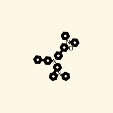 c1ccc(-c2ccc(N(c3ccc(-c4ccc5c(c4)Oc4ccccc4N5c4ccccc4)cc3)c3ccc4c(c3)c3ccccc3n4-c3ccccc3)cc2)cc1